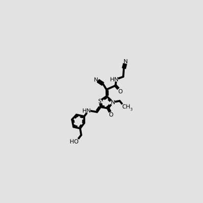 CCn1c(=C(C#N)C(=O)NCC#N)sc(=CNc2cccc(CO)c2)c1=O